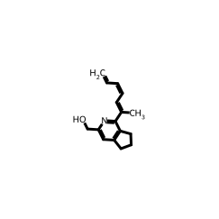 C=C/C=C\C=C(/C)c1nc(CO)cc2c1CCC2